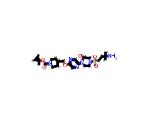 CC(C)(N)CCS(=O)(=O)N1CCN(c2cnc(OCC3CCN(C(=O)OC4(C)CC4)CC3)cn2)C(=O)C1